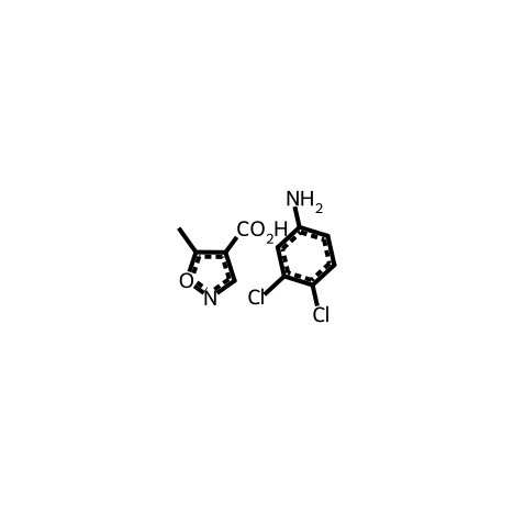 Cc1oncc1C(=O)O.Nc1ccc(Cl)c(Cl)c1